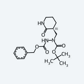 CC(C)(C)OC(=O)N(C[C@@H]1CCCNC1=O)NC(=O)OCc1ccccc1